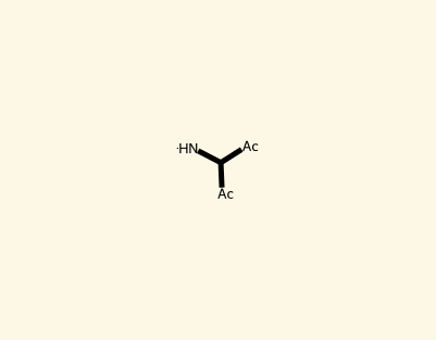 CC(=O)C([NH])C(C)=O